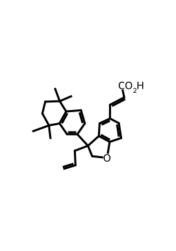 C=CCC1(c2ccc3c(c2)C(C)(C)CCC3(C)C)COc2ccc(C=CC(=O)O)cc21